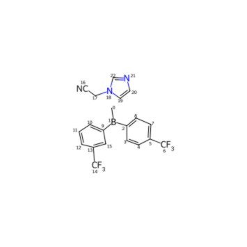 CB(c1ccc(C(F)(F)F)cc1)c1cccc(C(F)(F)F)c1.N#CCn1ccnc1